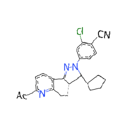 CC(=O)c1ccc2c(n1)CCC1C2=NN(c2ccc(C#N)c(Cl)c2)C1C1CCCC1